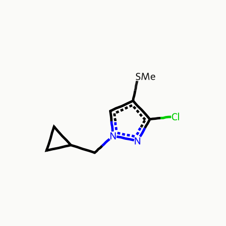 CSc1cn(CC2CC2)nc1Cl